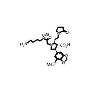 CCCCN(CCCCN)C(=O)CN1C[C@H](c2cc(OC)c3c(c2)OCO3)[C@@H](C(=O)O)[C@@H]1CCN1CCCC1=O